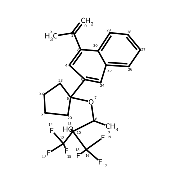 C=C(C)c1cc(C2(OC(C)C(O)(C(F)(F)F)C(F)(F)F)CCCC2)cc2ccccc12